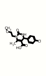 COCCN1C(=O)NC(c2ccc(Cl)cc2)C(C(=O)O)=C1C